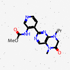 COC(=O)Nc1cnccc1-c1ncc2c(n1)N(C(C)C)CC(=O)N2C